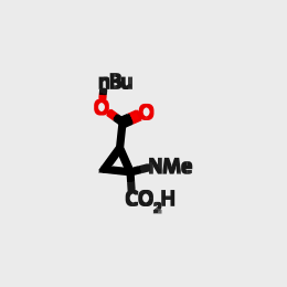 CCCCOC(=O)C1CC1(NC)C(=O)O